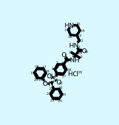 CC(C)(NC(=O)c1ccc(S(=O)(=O)N(Oc2ccccc2)c2ccccc2)cc1)C(=O)NCC1CCNCC1.Cl